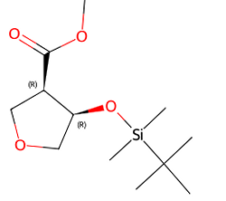 COC(=O)[C@@H]1COC[C@@H]1O[Si](C)(C)C(C)(C)C